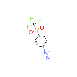 N#[N+]c1ccc(S(=O)(=O)C(F)(F)F)cc1